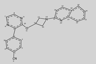 N#Cc1ccc(-c2nccnc2OC2CN(c3ccc4ccccc4n3)C2)cc1